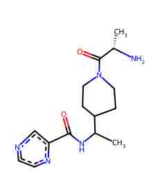 CC(NC(=O)c1cnccn1)C1CCN(C(=O)[C@H](C)N)CC1